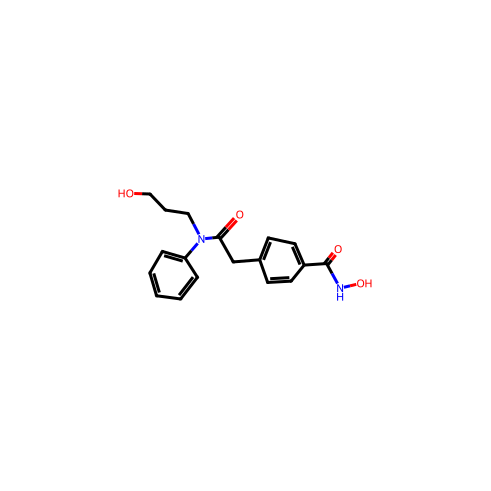 O=C(NO)c1ccc(CC(=O)N(CCCO)c2ccccc2)cc1